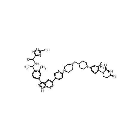 Cc1cc(-c2n[nH]c3ncc(-c4ccc(N5CCN(CC6CCN(c7ccc(N8CCC(=O)NC8=O)c(C)c7)CC6)CC5)nc4)cc23)ccc1[C@@H](C)NC(=O)c1noc(C(C)(C)C)n1